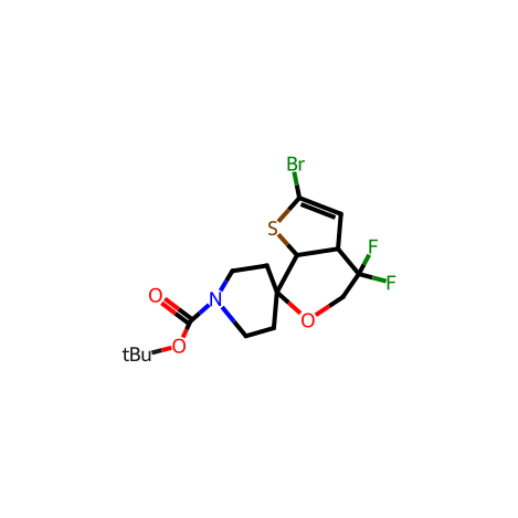 CC(C)(C)OC(=O)N1CCC2(CC1)OCC(F)(F)C1C=C(Br)SC12